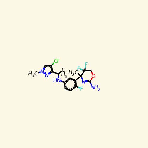 CC(Nc1ccc(F)c(C2(C)N=C(N)OCC2(F)F)c1)c1nn(C)cc1Cl